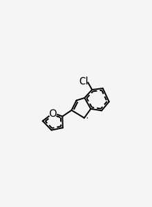 Clc1cccc2c1C=C(c1ccco1)[CH]2